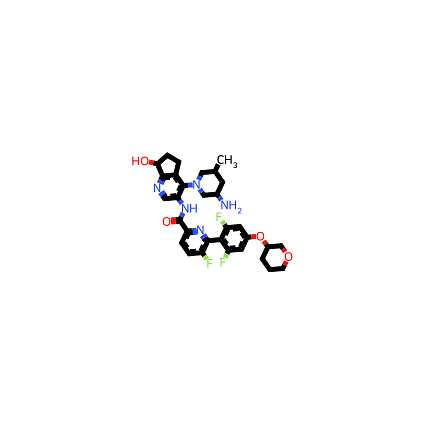 CC1CC(N)CN(c2c(NC(=O)c3ccc(F)c(-c4c(F)cc(OC5CCCOC5)cc4F)n3)cnc3c2CCC3O)C1